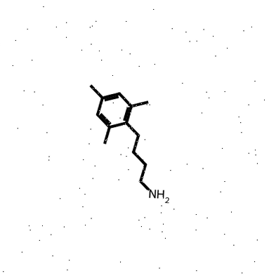 Cc1cc(C)c(CCCCN)c(C)c1